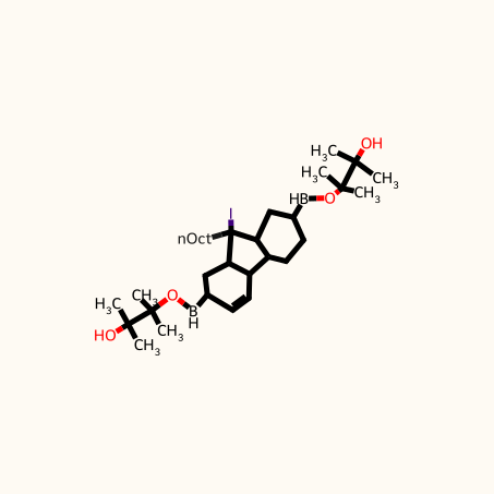 CCCCCCCCC1(I)C2CC(BOC(C)(C)C(C)(C)O)C=CC2C2CCC(BOC(C)(C)C(C)(C)O)CC21